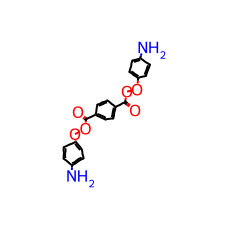 Nc1ccc(OOC(=O)c2ccc(C(=O)OOc3ccc(N)cc3)cc2)cc1